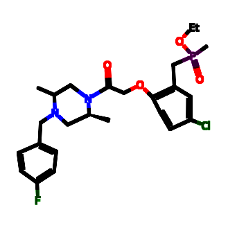 CCOP(C)(=O)Cc1cc(Cl)ccc1OCC(=O)N1CC(C)N(Cc2ccc(F)cc2)C[C@@H]1C